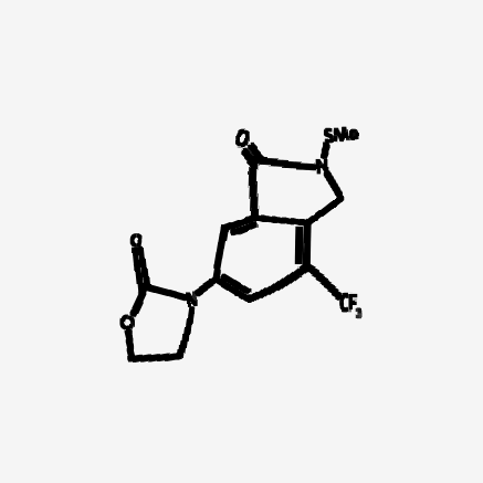 CSN1Cc2c(cc(N3CCOC3=O)cc2C(F)(F)F)C1=O